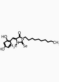 CCCCCCCCCCN1C(=O)C(=Cc2ccc(O)cc2O)N(C)C1=[Se]